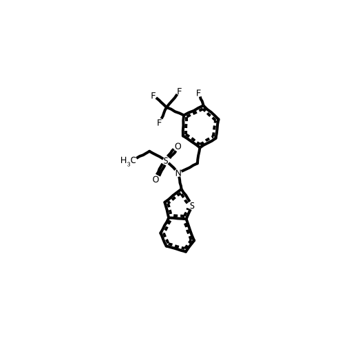 CCS(=O)(=O)N(Cc1ccc(F)c(C(F)(F)F)c1)c1cc2ccccc2s1